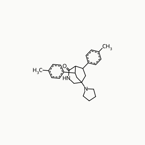 Cc1ccc(C2CC3(N4CCCC4)CNC(=O)C2C(c2ccc(C)cc2)C3)cc1